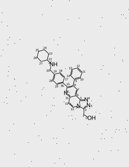 OCc1nnc2c3cc(-c4ccccc4)c(-c4ccc(CNC5CCCCC5)cc4)nc3ccn12